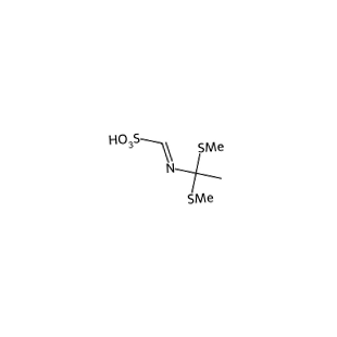 CSC(C)(N=CS(=O)(=O)O)SC